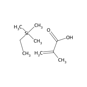 C=C(C)C(=O)O.CC[Si](C)(C)C